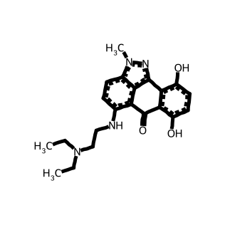 CCN(CC)CCNc1ccc2c3c(nn2C)-c2c(O)ccc(O)c2C(=O)c13